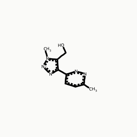 Cc1ccc(-c2nnn(C)c2CO)nn1